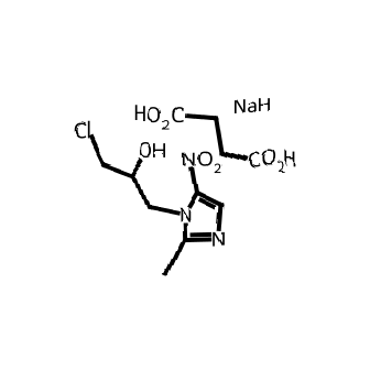 Cc1ncc([N+](=O)[O-])n1CC(O)CCl.O=C(O)CCC(=O)O.[NaH]